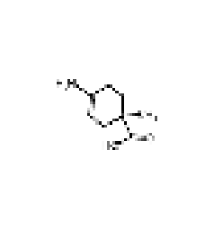 CC1(C(=O)O)CC=C(N)CC1